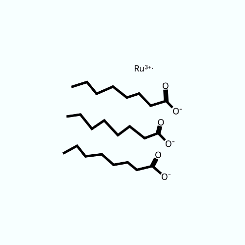 CCCCCCCC(=O)[O-].CCCCCCCC(=O)[O-].CCCCCCCC(=O)[O-].[Ru+3]